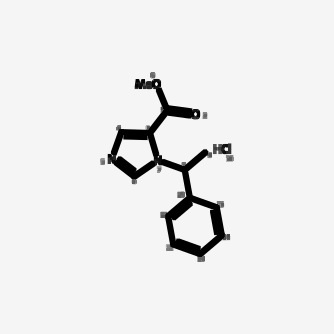 COC(=O)c1cncn1C(C)c1ccccc1.Cl